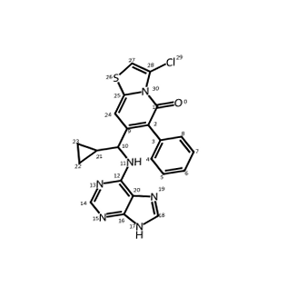 O=c1c(-c2ccccc2)c(C(Nc2ncnc3[nH]cnc23)C2CC2)cc2scc(Cl)n12